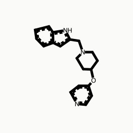 c1ccc2[nH]c(CN3CCC(Oc4ccncc4)CC3)cc2c1